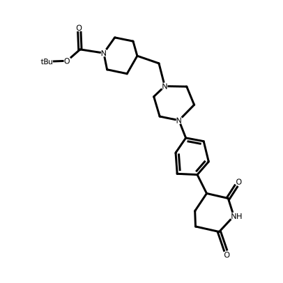 CC(C)(C)OC(=O)N1CCC(CN2CCN(c3ccc(C4CCC(=O)NC4=O)cc3)CC2)CC1